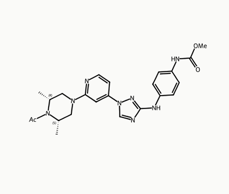 COC(=O)Nc1ccc(Nc2ncn(-c3ccnc(N4C[C@@H](C)N(C(C)=O)[C@@H](C)C4)c3)n2)cc1